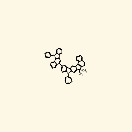 CC1(C)c2cc3c(cc2-c2c1ccc1ccccc21)c1cc(-c2cc4c5ccccc5n(-c5ccccc5)c4c4ccccc24)ccc1n3C1=CCC=CC=C1